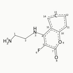 NCCNc1c(F)c(=O)oc2ccccc12